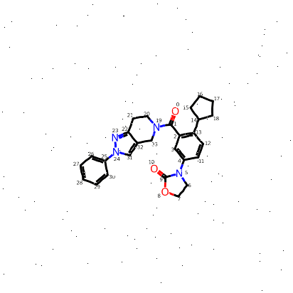 O=C(c1cc(N2CCOC2=O)ccc1C1CCCC1)N1CCc2nn(-c3ccccc3)cc2C1